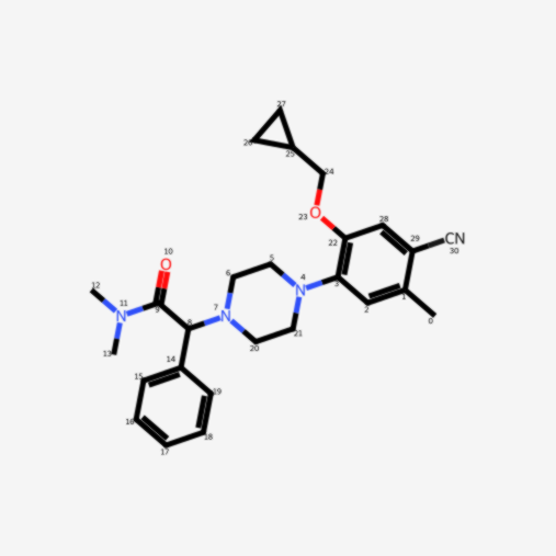 Cc1cc(N2CCN(C(C(=O)N(C)C)c3ccccc3)CC2)c(OCC2CC2)cc1C#N